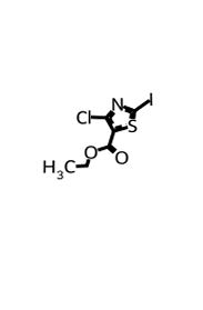 CCOC(=O)c1sc(I)nc1Cl